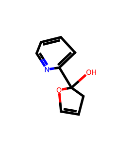 OC1(c2ccccn2)CC=CO1